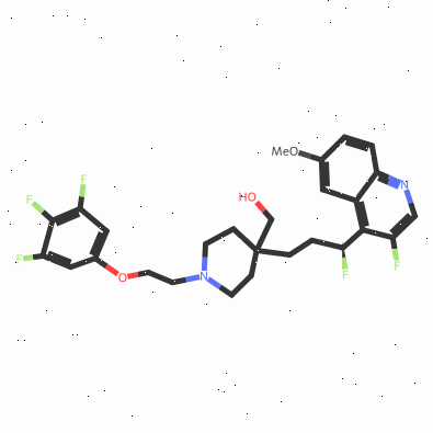 COc1ccc2ncc(F)c([C@@H](F)CCC3(CO)CCN(CCOc4cc(F)c(F)c(F)c4)CC3)c2c1